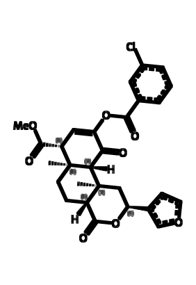 COC(=O)[C@@H]1C=C(OC(=O)c2cccc(Cl)c2)C(=O)[C@H]2[C@@]1(C)CC[C@H]1C(=O)O[C@H](c3ccoc3)C[C@]21C